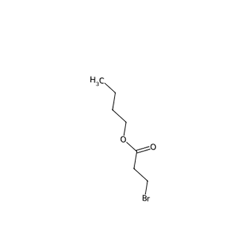 CCCCOC(=O)CCBr